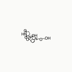 O=C1CCC(N2C(=O)c3cccc(NCCOCCO)c3C2=O)C(=O)N1